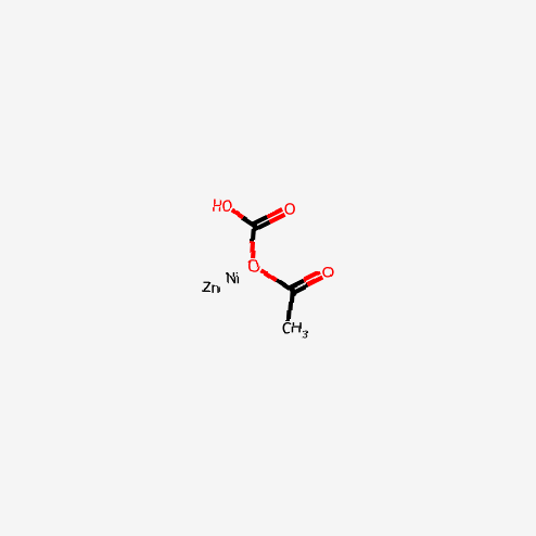 CC(=O)OC(=O)O.[Ni].[Zn]